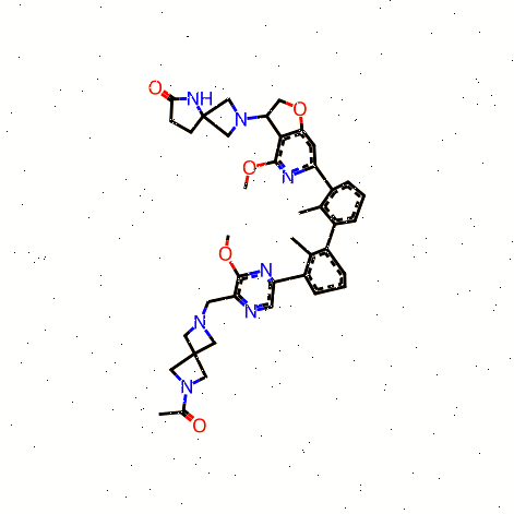 COc1nc(-c2cccc(-c3cccc(-c4cc5c(c(OC)n4)C(N4CC6(CCC(=O)N6)C4)CO5)c3C)c2C)cnc1CN1CC2(C1)CN(C(C)=O)C2